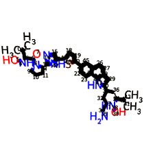 CC(C)[C@H](NO)C(=O)N1CCC[C@H]1c1ncc(-c2ccc(-c3ccc4c(ccc5cc(C(CCCN)C[C@@H](NO)C(C)C)[nH]c54)c3)s2)[nH]1